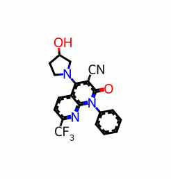 N#Cc1c(N2CCC(O)C2)c2ccc(C(F)(F)F)nc2n(-c2ccccc2)c1=O